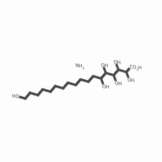 N.O=C(O)C(O)C(O)C(O)C(O)C(O)CCCCCCCCCCCCO